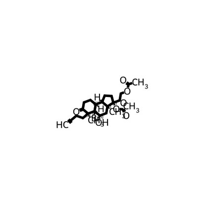 C#CCC[C@@]1(C)C(=O)CC[C@H]2[C@@H]3CC[C@](OC(C)=O)(C(=O)COC(C)=O)[C@@]3(C)C[C@H](O)[C@@]21Br